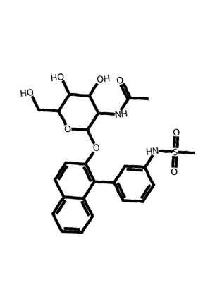 CC(=O)NC1C(Oc2ccc3ccccc3c2-c2cccc(NS(C)(=O)=O)c2)OC(CO)C(O)C1O